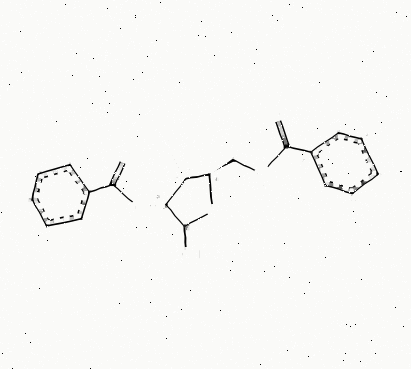 O=C(OC[C@H]1SC(O)[C@H](OC(=O)c2ccccc2)[C@@H]1F)c1ccccc1